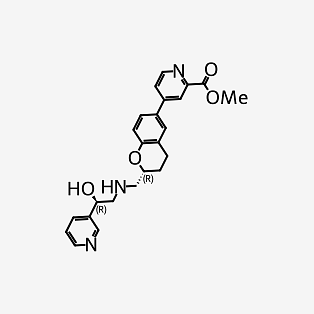 COC(=O)c1cc(-c2ccc3c(c2)CC[C@H](CNC[C@H](O)c2cccnc2)O3)ccn1